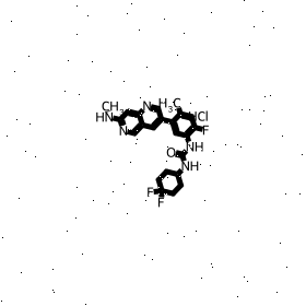 CNc1cc2ncc(-c3cc(NC(=O)NC4CCC(F)(F)CC4)c(F)cc3C)cc2cn1.Cl